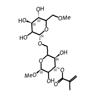 C=C(C)C(=O)O[C@@H]1C(O)[C@@H](OC)OC(CO[C@H]2OC(COC)[C@@H](O)[C@H](O)C2O)[C@H]1O